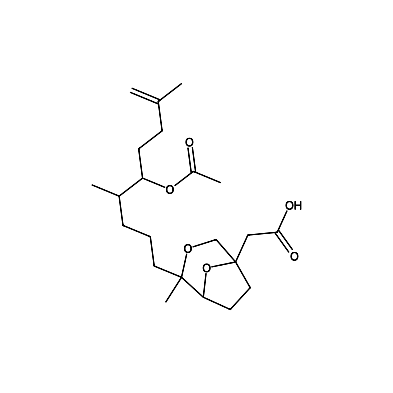 C=C(C)CCC(OC(C)=O)C(C)CCCC1(C)OCC2(CC(=O)O)CCC1O2